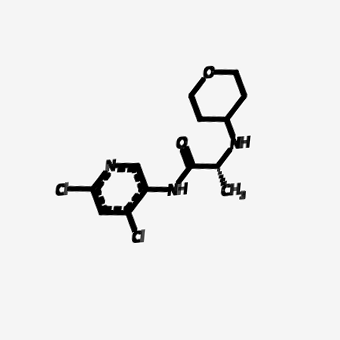 C[C@@H](NC1CCOCC1)C(=O)Nc1cnc(Cl)cc1Cl